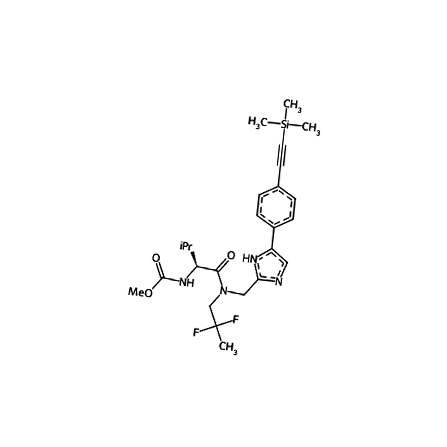 COC(=O)N[C@H](C(=O)N(Cc1ncc(-c2ccc(C#C[Si](C)(C)C)cc2)[nH]1)CC(C)(F)F)C(C)C